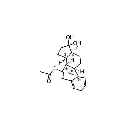 CC(=O)OC1=CC2=CCC=C[C@]2(C)[C@@H]2CC[C@@]3(C)[C@@H](CCC3(O)O)[C@H]12